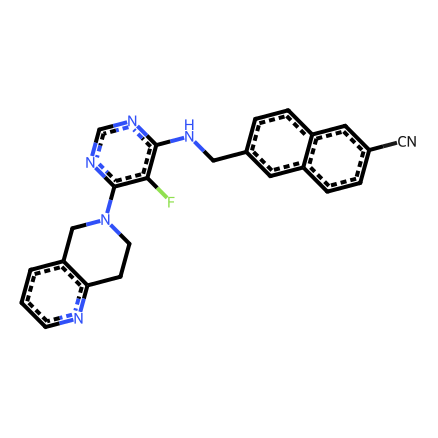 N#Cc1ccc2cc(CNc3ncnc(N4CCc5ncccc5C4)c3F)ccc2c1